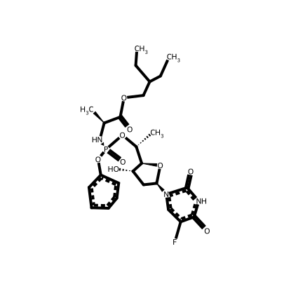 CCC(CC)COC(=O)[C@H](C)N[P@@](=O)(Oc1ccccc1)O[C@H](C)[C@H]1O[C@@H](n2cc(F)c(=O)[nH]c2=O)C[C@@H]1O